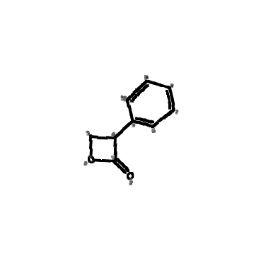 O=C1OCC1c1ccccc1